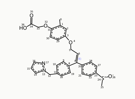 Cc1cc(OC/C=C(\c2ccc(Cn3cccn3)cc2)c2ccc([S+](C)[O-])cc2)ccc1OCC(=O)O